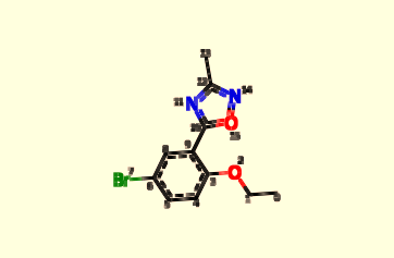 CCOc1ccc(Br)cc1-c1nc(C)no1